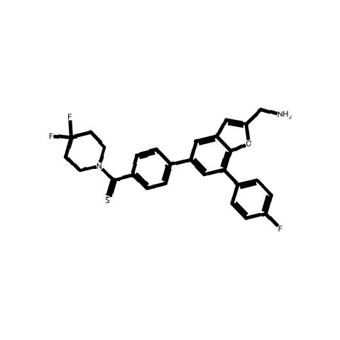 NCc1cc2cc(-c3ccc(C(=S)N4CCC(F)(F)CC4)cc3)cc(-c3ccc(F)cc3)c2o1